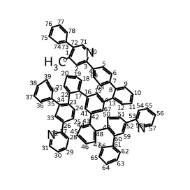 Cc1cc(-c2ccc(-c3ccccc3-c3cc(-c4ccccc4-c4ccc(-c5ccccn5)cc4-c4ccccc4)cc(-c4ccccc4-c4ccc(-c5ccccn5)cc4-c4ccccc4)c3)cc2)ncc1-c1ccccc1